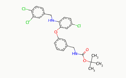 CC(C)(C)OC(=O)NCc1cccc(Oc2cc(Cl)ccc2NCc2ccc(Cl)c(Cl)c2)c1